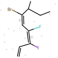 C=C/C(I)=C(F)\C=C(\Br)C(C)CC